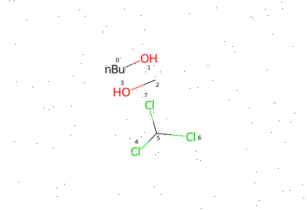 CCCCO.CO.ClC(Cl)Cl